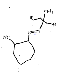 CCC(C)(C#N)/N=N/C1CCCCC1C#N